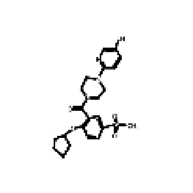 CS(=O)(=O)c1ccc(OC2CCCC2)c(C(=O)N2CCN(c3ccc(C#N)cn3)CC2)c1